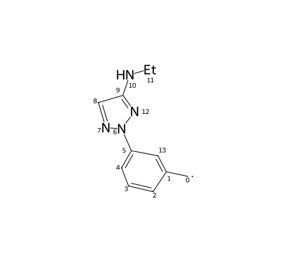 [CH2]c1cccc(-n2ncc(NCC)n2)c1